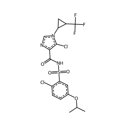 CC(C)Oc1ccc(Cl)c(S(=O)(=O)NC(=O)c2ncn(C3CC3C(F)(F)F)c2Cl)c1